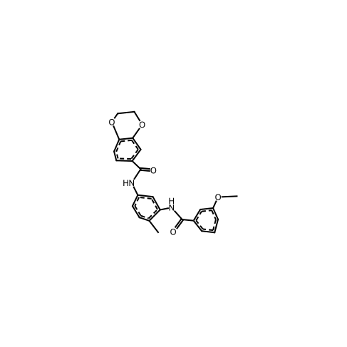 COc1cccc(C(=O)Nc2cc(NC(=O)c3ccc4c(c3)OCCO4)ccc2C)c1